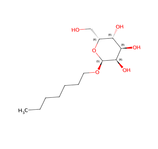 CCCCCCCO[C@H]1O[C@H](CO)[C@H](O)[C@@H](O)[C@H]1O